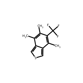 Cc1c(C(F)(F)F)c(C)c2cscc2c1C